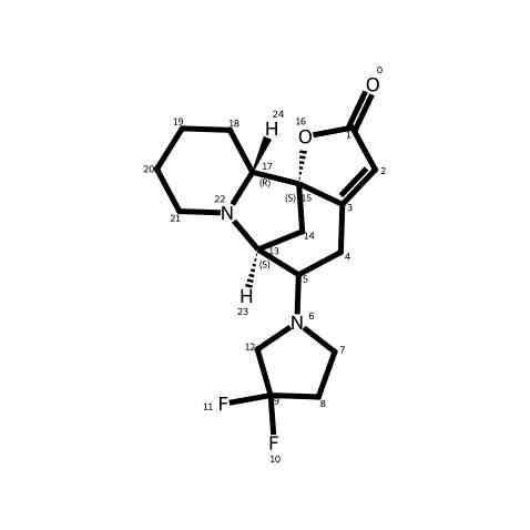 O=C1C=C2CC(N3CCC(F)(F)C3)[C@@H]3C[C@@]2(O1)[C@H]1CCCCN31